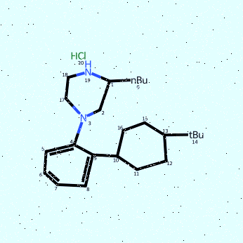 CCCCC1CN(c2ccccc2C2CCC(C(C)(C)C)CC2)CCN1.Cl